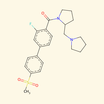 CS(=O)(=O)c1ccc(-c2ccc(C(=O)N3CCCC3CN3CCCC3)c(F)c2)cc1